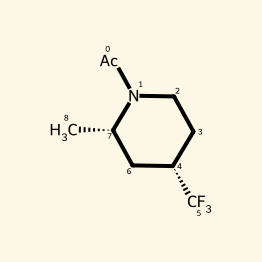 CC(=O)N1CC[C@H](C(F)(F)F)C[C@@H]1C